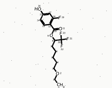 CCOCCCCCC(OC(=O)c1ccc(O)cc1F)C(F)(F)F